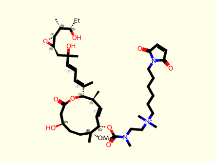 CC[C@H](O)[C@@H](C)[C@H]1O[C@@H]1CC(C)(O)/C=C/C=C(\C)[C@H]1OC(=O)C[C@H](O)CC[C@@](C)(OC)[C@@H](OC(=O)N(C)CC[N+](C)(C)CCCCCCN2C(=O)C=CC2=O)/C=C/[C@@H]1C